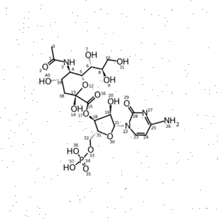 CC(=O)N[C@H]1[C@H]([C@H](O)[C@H](O)CO)O[C@](O)(C(=O)O[C@H]2[C@@H](O)[C@H](n3ccc(N)nc3=O)O[C@@H]2COP(=O)(O)O)C[C@@H]1O